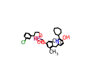 Cc1cc(OC[PH]2(O)OCCC(c3cccc(Cl)c3)O2)cc(C)c1Cc1ccc(O)c(C2CCCCCC2)n1